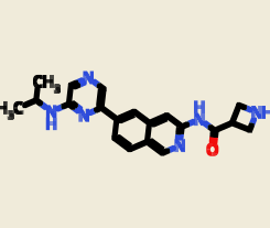 CC(C)Nc1cncc(-c2ccc3cnc(NC(=O)C4CNC4)cc3c2)n1